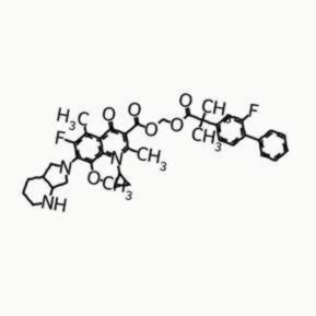 COc1c(N2CC3CCCNC3C2)c(F)c(C)c2c(=O)c(C(=O)OCOC(=O)C(C)(C)c3ccc(-c4ccccc4)c(F)c3)c(C)n(C3CC3)c12